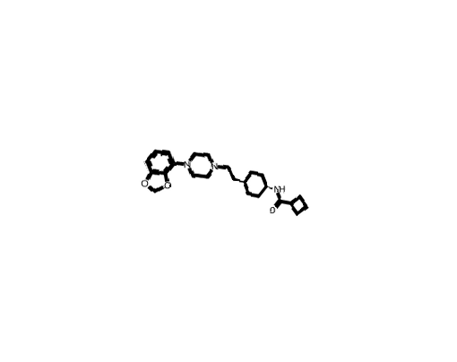 O=C(N[C@H]1CC[C@H](CCN2CCN(c3cccc4c3OCO4)CC2)CC1)C1CCC1